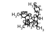 CC(C)CC(NC(=O)C(CC(C)C)NC(=O)C(CC(C)C)NC(=O)CN1CCN(C)CC1)C(=O)O